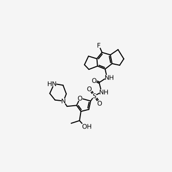 CC(O)c1cc(S(=O)(=O)NC(=O)Nc2c3c(c(F)c4c2CCC4)CCC3)oc1CN1CCNCC1